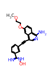 COCCOc1ccc2c(N)ncc(C#Cc3cccc(C(=N)NO)c3)c2c1